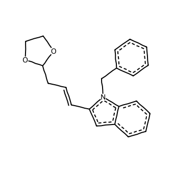 C(=Cc1cc2ccccc2n1Cc1ccccc1)CC1OCCO1